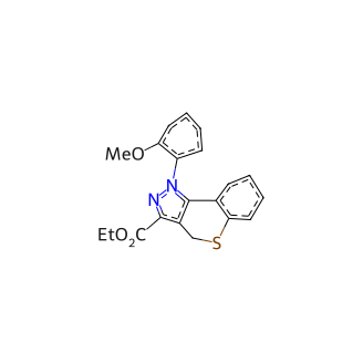 CCOC(=O)c1nn(-c2ccccc2OC)c2c1CSc1ccccc1-2